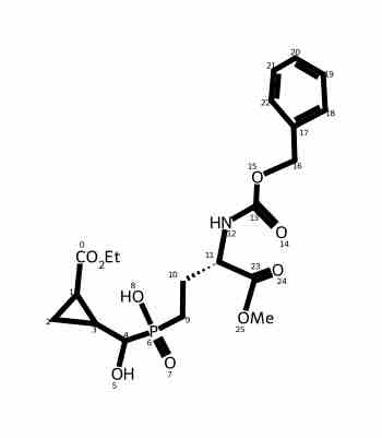 CCOC(=O)C1CC1C(O)P(=O)(O)CC[C@H](NC(=O)OCc1ccccc1)C(=O)OC